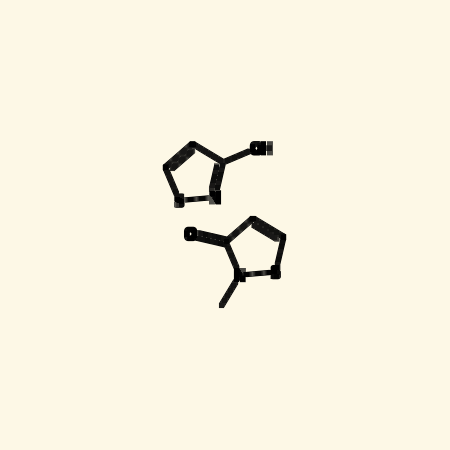 Cn1sccc1=O.Oc1ccsn1